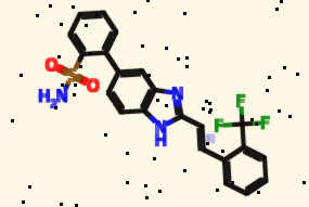 NS(=O)(=O)c1ccccc1-c1ccc2[nH]c(/C=C/c3ccccc3C(F)(F)F)nc2c1